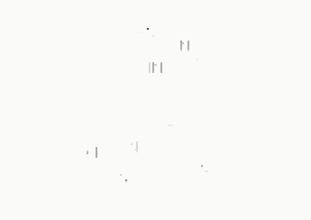 CN1C(=N)N[C@](C)(c2cccc(-n3c(Cl)nc4ccc(Cl)cc43)c2F)CC1=O